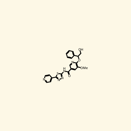 COc1cc(C(=O)Nc2nnc(-c3ccncc3)s2)cnc1OC(CO)c1ccccc1